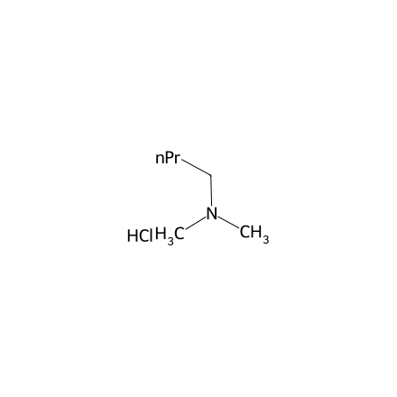 CCCCN(C)C.Cl